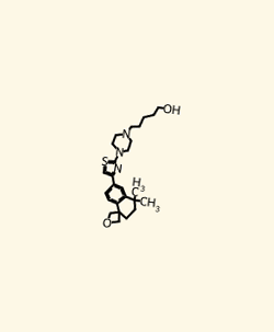 CC1(C)CCC2(COC2)c2ccc(-c3csc(N4CCN(CCCCCO)CC4)n3)cc21